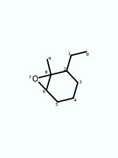 CCC1CCCC2OC12C